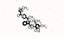 CSc1cc(C)[nH]c(=O)c1CNC(=O)c1c(C)n([C@H](C)C2CCN(C(=O)c3csc(C)n3)CC2)c2ccccc12